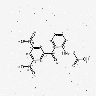 O=C(O)CNc1ccccc1C(=O)c1cc([N+](=O)[O-])cc([N+](=O)[O-])c1